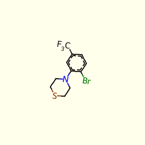 FC(F)(F)c1ccc(Br)c(N2CCSCC2)c1